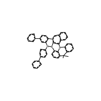 CC1(C)c2ccccc2N2c3c(cccc31)B1c3c(cc4ccccc4c32)-c2ccc(-c3ccccc3)cc2N1c1ccc(-c2ccccc2)cc1